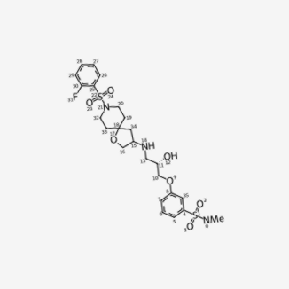 CNS(=O)(=O)c1cccc(OC[C@@H](O)CNC2COC3(CCN(S(=O)(=O)c4ccccc4F)CC3)C2)c1